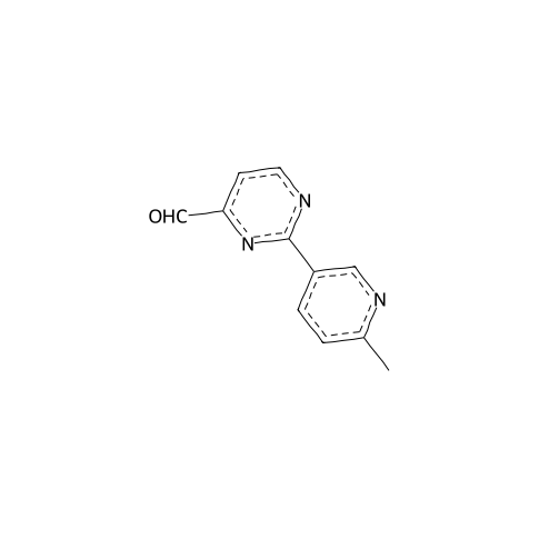 Cc1ccc(-c2nccc(C=O)n2)cn1